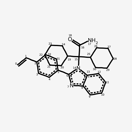 C=Cc1ccc(-c2nc3ccccc3n2C(C(N)=O)(C2CCCCC2)C2CCCCC2)cc1